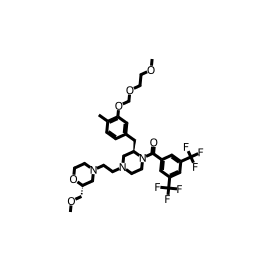 COCCOCOc1cc(C[C@@H]2CN(CCN3CCO[C@@H](COC)C3)CCN2C(=O)c2cc(C(F)(F)F)cc(C(F)(F)F)c2)ccc1C